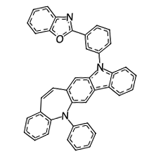 C1=Cc2cc3c(cc2N(c2ccccc2)c2ccccc21)c1ccccc1n3-c1cccc(-c2nc3ccccc3o2)c1